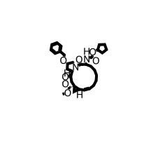 COC(=O)[C@]12CC(=O)[C@@H]3C[C@@H](OCc4ccccc4)CN3C(=O)[C@@H](NC(=O)OC3CCCC3)CCCCC/C=C\[C@@H]1C2